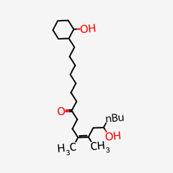 CCCCC(O)CC(C)=C(C)CCC(=O)CCCCCCCC1CCCCC1O